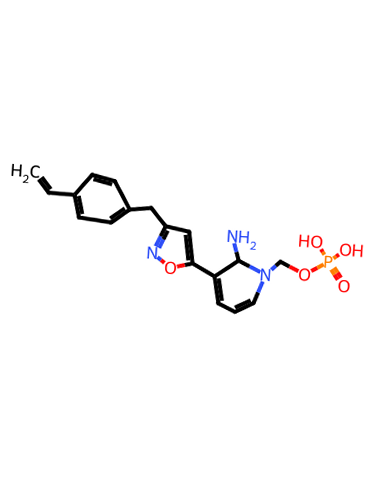 C=Cc1ccc(Cc2cc(C3=CC=CN(COP(=O)(O)O)C3N)on2)cc1